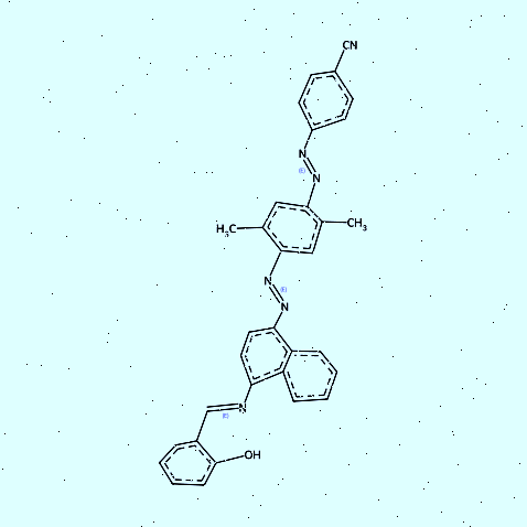 Cc1cc(/N=N/c2ccc(/N=C/c3ccccc3O)c3ccccc23)c(C)cc1/N=N/c1ccc(C#N)cc1